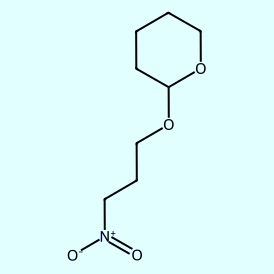 O=[N+]([O-])CCCOC1CCCCO1